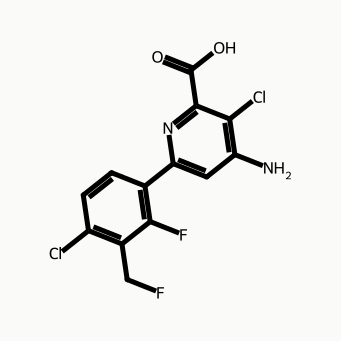 Nc1cc(-c2ccc(Cl)c(CF)c2F)nc(C(=O)O)c1Cl